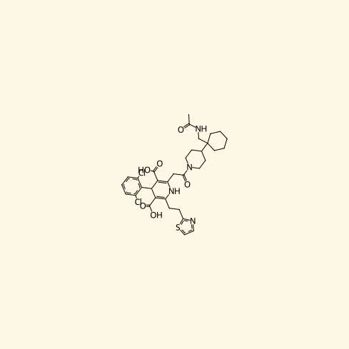 CC(=O)NCC1(C2CCN(C(=O)CC3=C(C(=O)O)C(c4c(Cl)cccc4Cl)C(C(=O)O)=C(CCc4nccs4)N3)CC2)CCCCC1